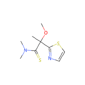 COC(C)(C(=S)N(C)C)c1nccs1